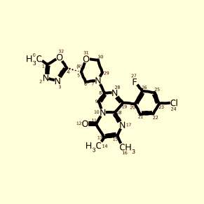 Cc1nnc([C@H]2CN(c3cn4c(=O)c(C)c(C)nc4c(-c4ccc(Cl)cc4F)n3)CCO2)o1